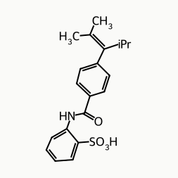 CC(C)=C(c1ccc(C(=O)Nc2ccccc2S(=O)(=O)O)cc1)C(C)C